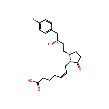 O=C(O)CCC/C=C\CN1C(=O)CC[C@@H]1CC[C@@H](O)Cc1ccc(F)cc1